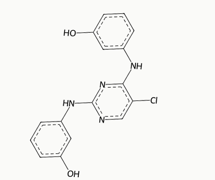 Oc1cccc(Nc2ncc(Cl)c(Nc3cccc(O)c3)n2)c1